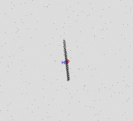 CCCCCCCCC=CCCCCCCCCCCCC(=O)NCCCCCCCCCCCCCCCCCC